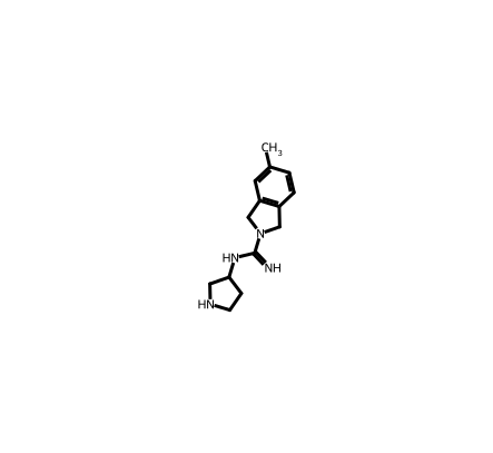 Cc1ccc2c(c1)CN(C(=N)NC1CCNC1)C2